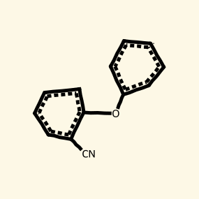 N#Cc1ccccc1Oc1cc[c]cc1